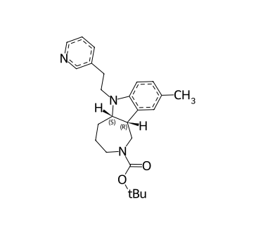 Cc1ccc2c(c1)[C@@H]1CN(C(=O)OC(C)(C)C)CCC[C@@H]1N2CCc1cccnc1